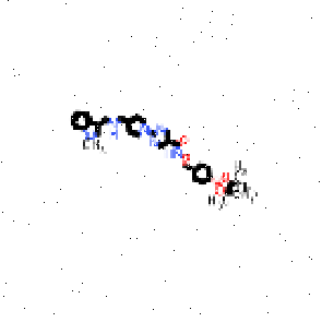 Cn1cc(CNCC2CCN(c3ncc(C(=O)NOCc4ccc(B5OC(C)(C)C(C)(C)O5)cc4)cn3)CC2)c2ccccc21